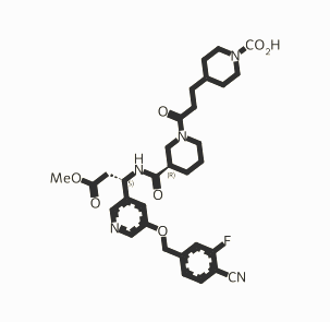 COC(=O)C[C@H](NC(=O)[C@@H]1CCCN(C(=O)CCC2CCN(C(=O)O)CC2)C1)c1cncc(OCc2ccc(C#N)c(F)c2)c1